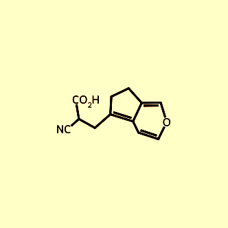 N#CC(CC1=C2C=COC=C2CC1)C(=O)O